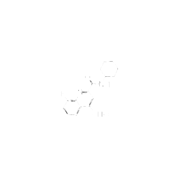 O=Cc1cc(C(=O)NC2CCCCC2)nc2c(F)cccc12